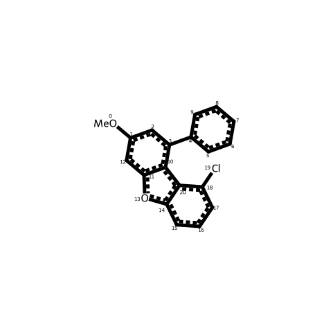 COc1cc(-c2ccccc2)c2c(c1)oc1cccc(Cl)c12